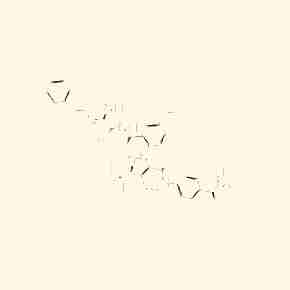 COc1ccc(-n2nc(C(F)(F)F)c3c2C(=O)N(c2ccc(C(=O)N(C)C)cc2)CC3)c(C(=O)N[C@@H](CO)C(=N)NCCc2ccccc2)c1